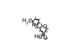 Cc1cccc(CC2COCCN(C(=O)O)C2)n1